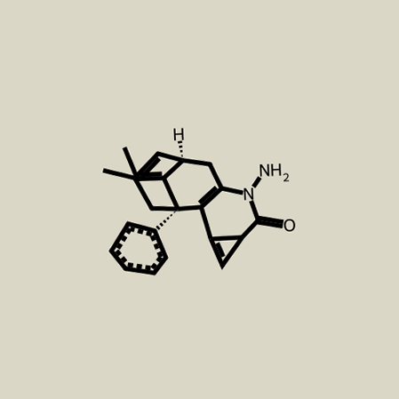 C/C=C1\[C@H]2C=C(C)C[C@]1(c1ccccc1)C1=C(C2)N(N)C(=O)C2C=C12